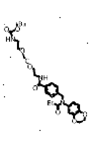 CCC(=O)N(Cc1ccc(C(=O)NCCOCCOCCNC(=O)OC(C)(C)C)cc1)c1ccc2c(c1)OCCO2